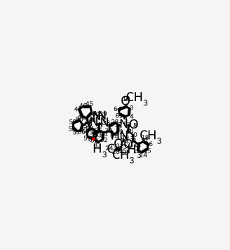 COc1ccc(N(C(=O)[C@@H](CCc2ccccc2C)NC(=O)OC(C)(C)C)c2ccc(-c3ccccc3-c3nnnn3C(c3ccccc3)(c3ccccc3)c3ccccc3)cc2)cc1